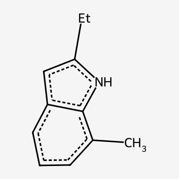 CCc1cc2cccc(C)c2[nH]1